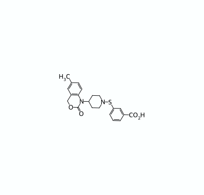 Cc1ccc2c(c1)COC(=O)N2C1CCN(Sc2cccc(C(=O)O)c2)CC1